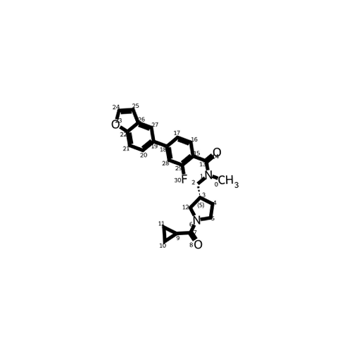 CN(C[C@@H]1CCN(C(=O)C2CC2)C1)C(=O)c1ccc(-c2ccc3occc3c2)cc1F